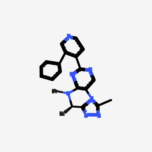 CC[C@@H]1c2nnc(C)n2-c2cnc(-c3ccncc3-c3ccccc3)nc2N1C(C)C